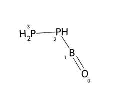 O=BPP